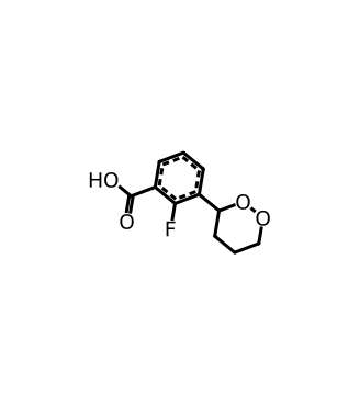 O=C(O)c1cccc(C2CCCOO2)c1F